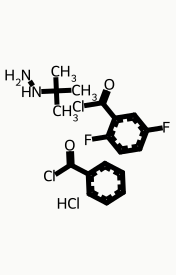 CC(C)(C)NN.Cl.O=C(Cl)c1cc(F)ccc1F.O=C(Cl)c1ccccc1